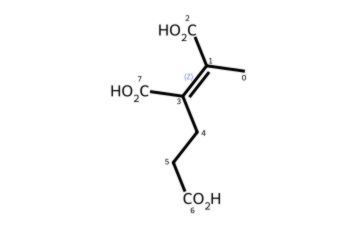 C/C(C(=O)O)=C(\CCC(=O)O)C(=O)O